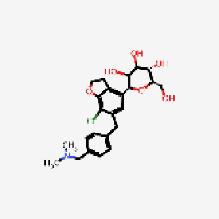 CN(C)Cc1ccc(Cc2cc([C@@H]3O[C@H](CO)[C@@H](O)[C@H](O)C3O)c3c(c2Cl)OCC3)cc1